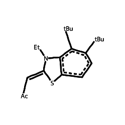 CCN1/C(=C/C(C)=O)Sc2ccc(C(C)(C)C)c(C(C)(C)C)c21